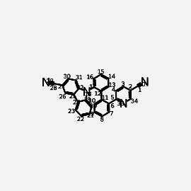 N#Cc1ccc(-c2ccccc2-c2ccccc2-n2c3ccccc3c3cc(C#N)ccc32)nc1